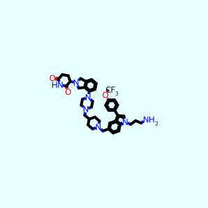 NCCCn1cc(-c2ccc(OC(F)(F)F)cc2)c2cc(CN3CCC(CN4CCN(c5cccc6c5CN(C5CCC(=O)NC5=O)C6)CC4)CC3)ccc21